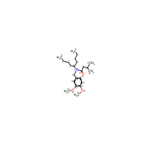 CCCCC(CCCC)N(Cc1ccc(OC)c(OC)c1)C(=O)CC(C)C